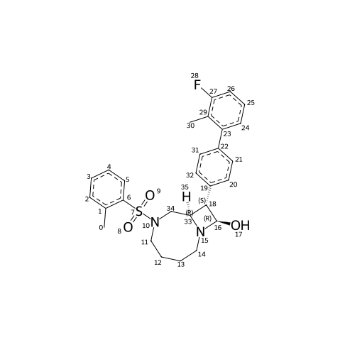 Cc1ccccc1S(=O)(=O)N1CCCCN2[C@H](O)[C@@H](c3ccc(-c4cccc(F)c4C)cc3)[C@@H]2C1